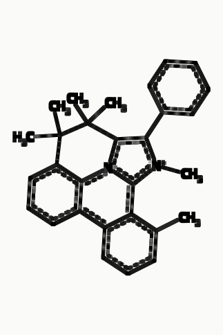 Cc1cccc2c3cccc4c3n3c(c(-c5ccccc5)[n+](C)c3c12)C(C)(C)C4(C)C